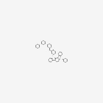 O=c1c2cc(-c3cccc(-c4ccccc4)c3)ccc2oc2ccc(-n3c4ccccc4c4ccc5c(c6ccccc6n5-c5ccccc5)c43)cc12